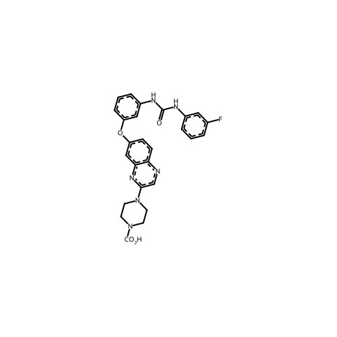 O=C(Nc1cccc(F)c1)Nc1cccc(Oc2ccc3ncc(N4CCN(C(=O)O)CC4)nc3c2)c1